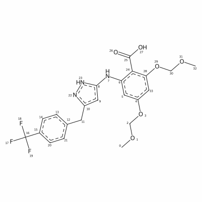 COCOc1cc(Nc2cc(Cc3ccc(C(F)(F)F)cc3)n[nH]2)c(C(=O)O)c(OCOC)c1